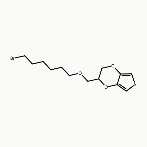 BrCCCCCCOCC1COc2cscc2O1